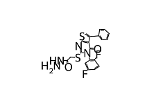 NNC(=O)CSc1nc2scc(-c3ccccc3)c2c(=O)n1-c1cc(F)ccc1F